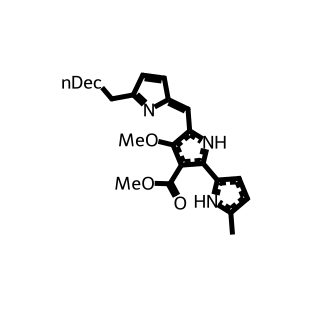 CCCCCCCCCCCC1=NC(=Cc2[nH]c(-c3ccc(C)[nH]3)c(C(=O)OC)c2OC)C=C1